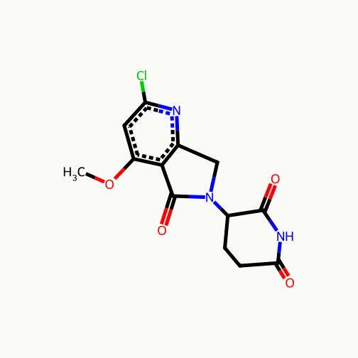 COc1cc(Cl)nc2c1C(=O)N(C1CCC(=O)NC1=O)C2